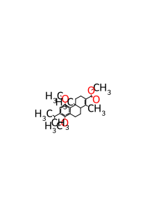 COC(=O)C1=C(C)C2CCc3c(OC)c(C(C)C)cc(OC)c3C2(C)CC1